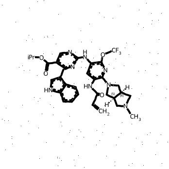 C=CC(=O)Nc1cc(Nc2ncc(C(=O)OC(C)C)c(-c3c[nH]c4ccccc34)n2)c(OC(F)(F)F)nc1N1C[C@H]2CN(C)C[C@H]2C1